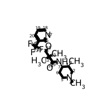 C[C@@H]1CN(C)CC[C@H]1NC(=O)C(C)(C)COc1ncccc1C(F)(F)F